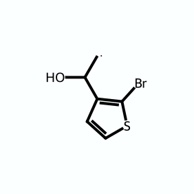 [CH2]C(O)c1ccsc1Br